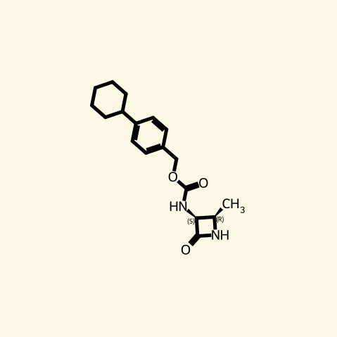 C[C@H]1NC(=O)[C@H]1NC(=O)OCc1ccc(C2CCCCC2)cc1